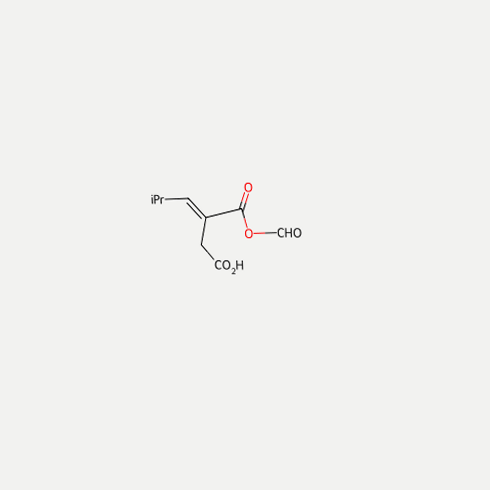 CC(C)/C=C(\CC(=O)O)C(=O)OC=O